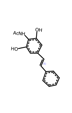 CC(=O)Nc1c(O)cc(/C=C/c2ccccc2)cc1O